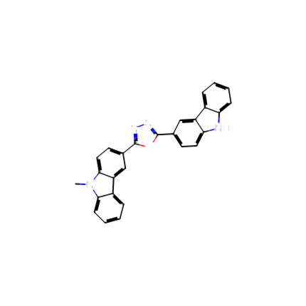 Cn1c2ccccc2c2cc(-c3nnc(-c4ccc5[nH]c6ccccc6c5c4)o3)ccc21